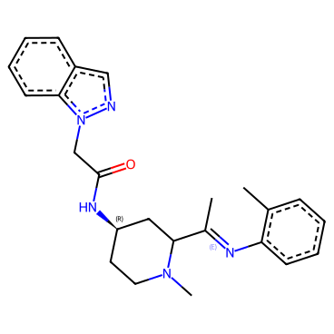 C/C(=N\c1ccccc1C)C1C[C@H](NC(=O)Cn2ncc3ccccc32)CCN1C